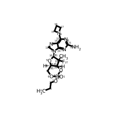 CCCO[P@@]1(=O)OC[C@H]2O[C@@H](n3cnc4c(N5CCC5)nc(N)nc43)[C@](C)(F)[C@@H]2O1